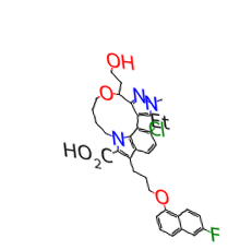 CCc1c2c(nn1C)C(CCO)OCCCCn1c(C(=O)O)c(CCCOc3cccc4cc(F)ccc34)c3ccc(Cl)c-2c31